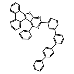 c1ccc(-c2ccc(-c3cccc(-c4cccc(-c5nc(-c6ccccc6)c6c(n5)sc5c7ccccc7c7ccccc7c56)c4)c3)cc2)cc1